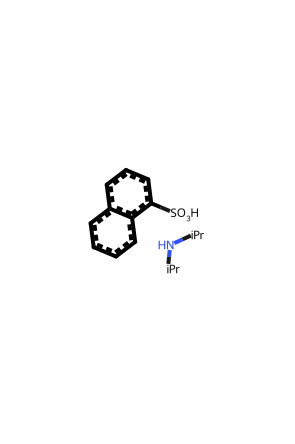 CC(C)NC(C)C.O=S(=O)(O)c1cccc2ccccc12